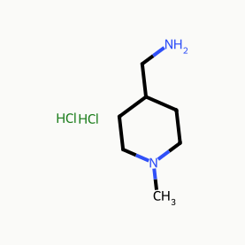 CN1CCC(CN)CC1.Cl.Cl